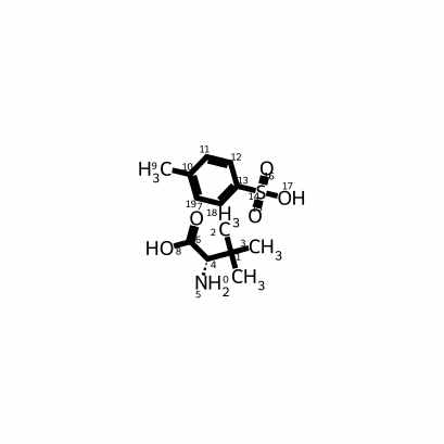 CC(C)(C)[C@H](N)C(=O)O.Cc1ccc(S(=O)(=O)O)cc1